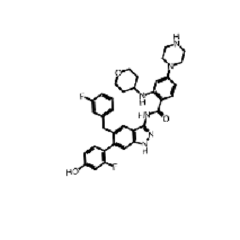 O=C(Nc1n[nH]c2cc(-c3ccc(O)cc3F)c(Cc3cccc(F)c3)cc12)c1ccc(N2CCNCC2)cc1NC1CCOCC1